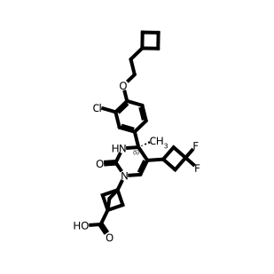 C[C@@]1(c2ccc(OCCC3CCC3)c(Cl)c2)NC(=O)N(C23CC(C(=O)O)(C2)C3)C=C1C1CC(F)(F)C1